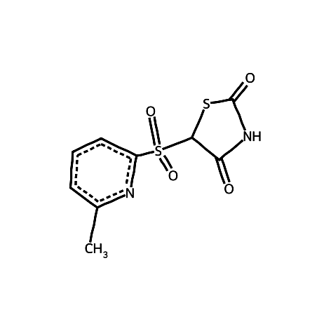 Cc1cccc(S(=O)(=O)C2SC(=O)NC2=O)n1